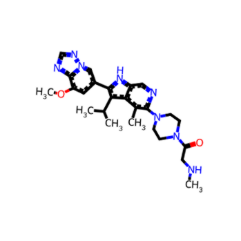 CNCC(=O)N1CCN(c2ncc3[nH]c(-c4cc(OC)c5ncnn5c4)c(C(C)C)c3c2C)CC1